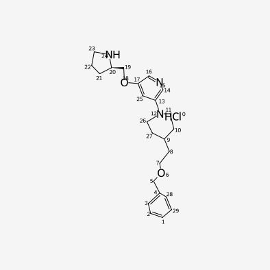 Cl.c1ccc(COCCC2CCN(c3cncc(OC[C@H]4CCCN4)c3)CC2)cc1